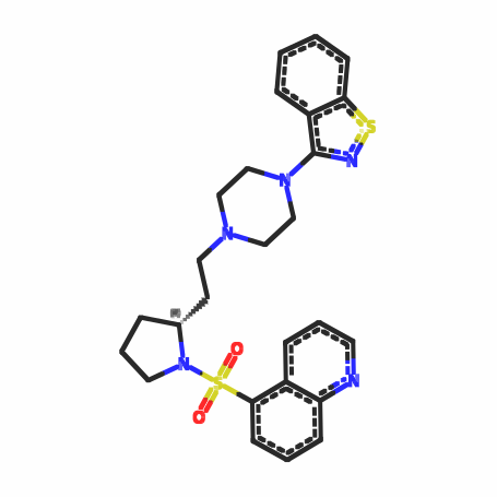 O=S(=O)(c1cccc2ncccc12)N1CCC[C@@H]1CCN1CCN(c2nsc3ccccc23)CC1